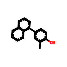 Cc1cc(-c2cccc3ccccc23)ccc1O